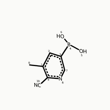 Cc1cc(B(O)O)cnc1C#N